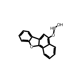 OBOc1cc2c3ccccc3oc2c2ccccc12